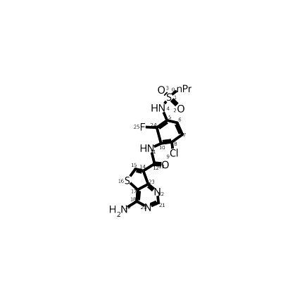 CCCS(=O)(=O)Nc1ccc(Cl)c(NC(=O)c2csc3c(N)ncnc23)c1F